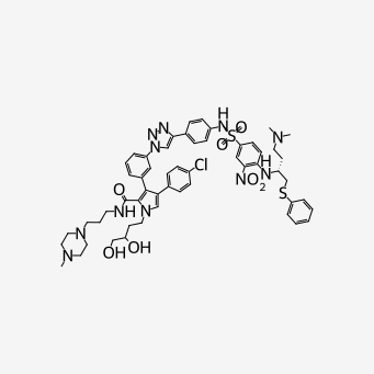 CN(C)CC[C@H](CSc1ccccc1)Nc1ccc(S(=O)(=O)Nc2ccc(-c3cn(-c4cccc(-c5c(-c6ccc(Cl)cc6)cn(CCC(O)CO)c5C(=O)NCCCN5CCN(C)CC5)c4)nn3)cc2)cc1[N+](=O)[O-]